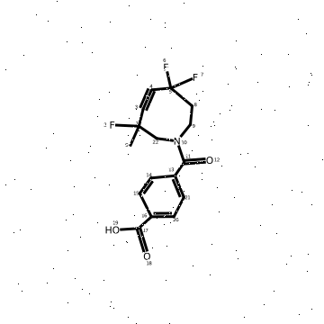 CC1(F)C#CC(F)(F)CCN(C(=O)c2ccc(C(=O)O)cc2)C1